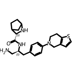 NC[C@H](Cc1ccc(N2CCc3sccc3C2)cc1)NC(=O)[C@H]1NC2CCC1C2